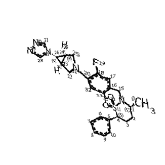 C[C@H]1CC[C@@H](c2ccccc2)S(=O)(=O)N1Cc1cc(F)c(N2C[C@@H]3[C@H](C2)[C@H]3n2cnnc2)cc1F